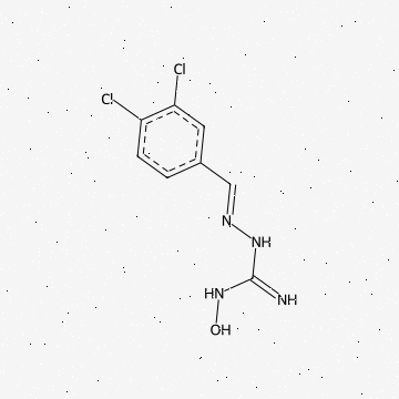 N=C(NO)NN=Cc1ccc(Cl)c(Cl)c1